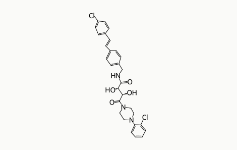 O=C(NCc1ccc(/C=C/c2ccc(Cl)cc2)cc1)[C@H](O)[C@@H](O)C(=O)N1CCN(c2ccccc2Cl)CC1